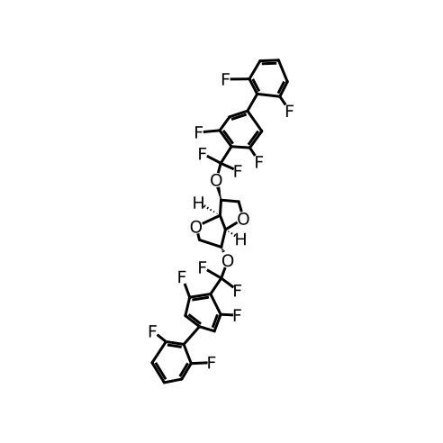 Fc1cccc(F)c1-c1cc(F)c(C(F)(F)O[C@H]2CO[C@@H]3[C@H]2OC[C@H]3OC(F)(F)c2c(F)cc(-c3c(F)cccc3F)cc2F)c(F)c1